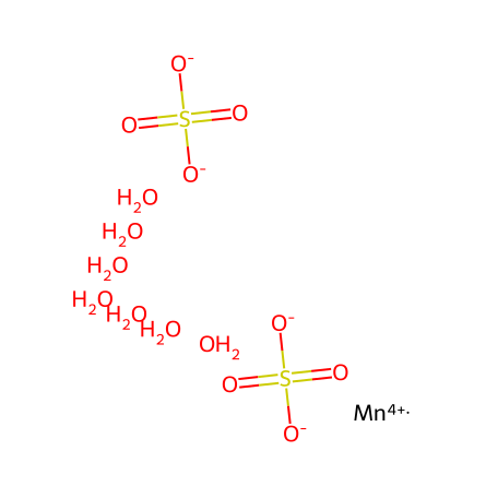 O.O.O.O.O.O.O.O=S(=O)([O-])[O-].O=S(=O)([O-])[O-].[Mn+4]